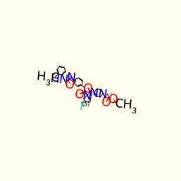 CCOC(=O)CN1CCN(C(=O)[N+]2(C(=O)Cc3ccc4nc(Nc5ccccc5C)oc4c3)CC[C@H](F)C2)CC1